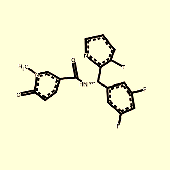 Cn1cc(C(=O)N[C@@H](c2cc(F)cc(F)c2)c2ncccc2F)ccc1=O